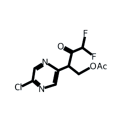 CC(=O)OCC(C(=O)C(F)F)c1cnc(Cl)cn1